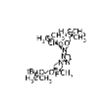 CC(C)(C)[Si](C)(C)OCCO[C@@H]1CCN(c2nccc(N(COCC[Si](C)(C)C)COCC[Si](C)(C)C)n2)C[C@]1(C)F